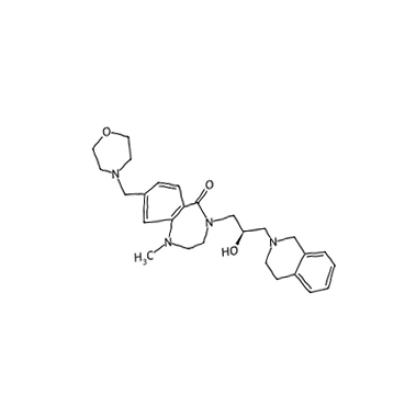 CN1CCN(C[C@H](O)CN2CCc3ccccc3C2)C(=O)c2ccc(CN3CCOCC3)cc21